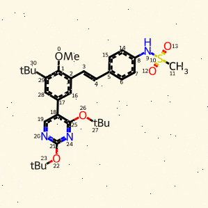 COc1c(C=Cc2ccc(NS(C)(=O)=O)cc2)cc(-c2cnc(OC(C)(C)C)nc2OC(C)(C)C)cc1C(C)(C)C